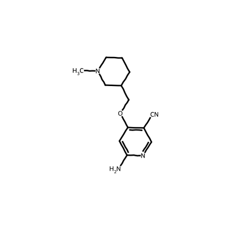 CN1CCCC(COc2cc(N)ncc2C#N)C1